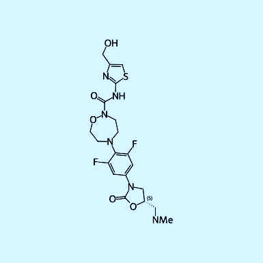 CNC[C@H]1CN(c2cc(F)c(N3CCON(C(=O)Nc4nc(CO)cs4)CC3)c(F)c2)C(=O)O1